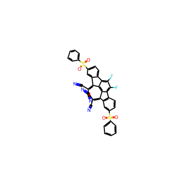 N#CC(C#N)=C1c2cc(S(=O)(=O)c3ccccc3)ccc2-c2c(F)c(F)c3c(c21)C(=C(C#N)C#N)c1cc(S(=O)(=O)c2ccccc2)ccc1-3